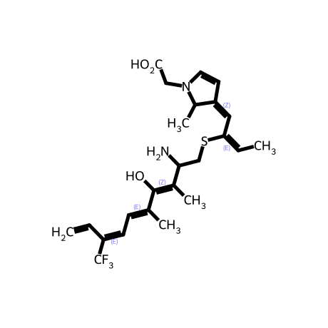 C=C\C(=C/C=C(C)/C(O)=C(\C)C(N)CSC(/C=C1/C=CN(CC(=O)O)C1C)=C/C)C(F)(F)F